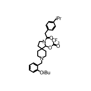 CC(C)COc1ccccc1CN1CCC2(CC1)CCN(C(=O)Cc1ccc(C(C)C)cc1)C2OC(=O)C(F)(F)F